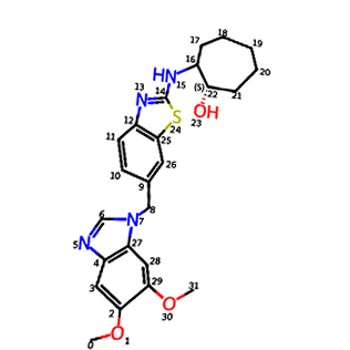 COc1cc2ncn(Cc3ccc4nc(NC5CCCCC[C@@H]5O)sc4c3)c2cc1OC